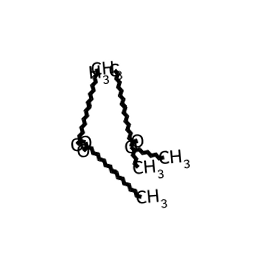 CCCCCCCCC=CCCCCCCCC(=O)OC(=O)CCCCCCCC=CCCCCCCCC.CCCCCCCCC=CCCCCCCCC(=O)OC(CCCC)CCCCCCC